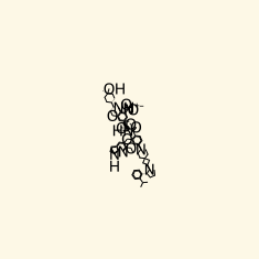 COc1nc2[nH]ccc2cc1Oc1cc(N2CCC3(CC2)CC(N2CCC[C@@H]2c2ccccc2C(C)C)C3)ccc1C(=O)NS(=O)(=O)c1cc2c(c([N+](=O)[O-])c1)N[C@@H]([C@H]1CC[C@](C)(O)CC1)CO2